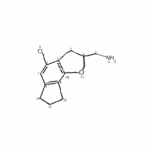 NCC1Cc2c(Cl)cc3c(c2O1)CCC3